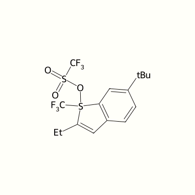 CCC1=Cc2ccc(C(C)(C)C)cc2S1(OS(=O)(=O)C(F)(F)F)C(F)(F)F